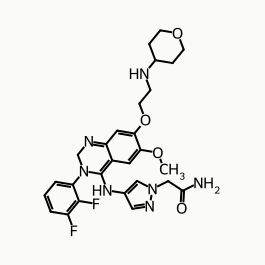 COc1cc2c(cc1OCCNC1CCOCC1)=NCN(c1cccc(F)c1F)C=2Nc1cnn(CC(N)=O)c1